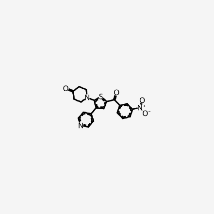 O=C1CCN(c2sc(C(=O)c3cccc([N+](=O)[O-])c3)cc2-c2ccncc2)CC1